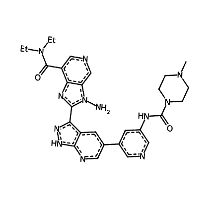 CCN(CC)C(=O)c1cncc2c1nc(-c1n[nH]c3ncc(-c4cncc(NC(=O)N5CCN(C)CC5)c4)cc13)n2N